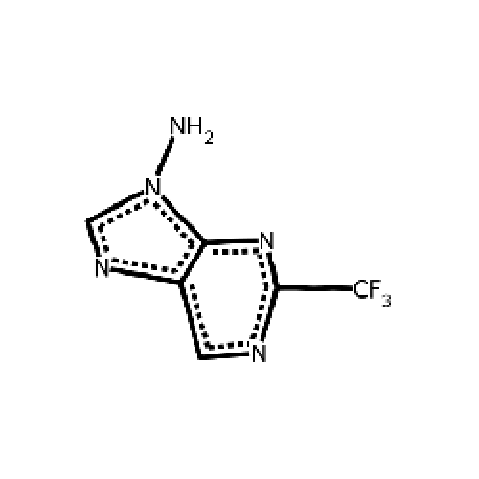 Nn1cnc2cnc(C(F)(F)F)nc21